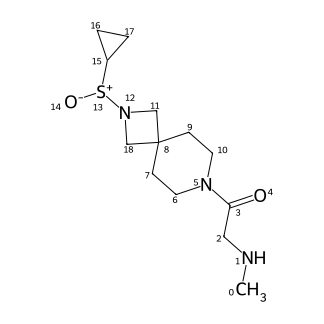 CNCC(=O)N1CCC2(CC1)CN([S+]([O-])C1CC1)C2